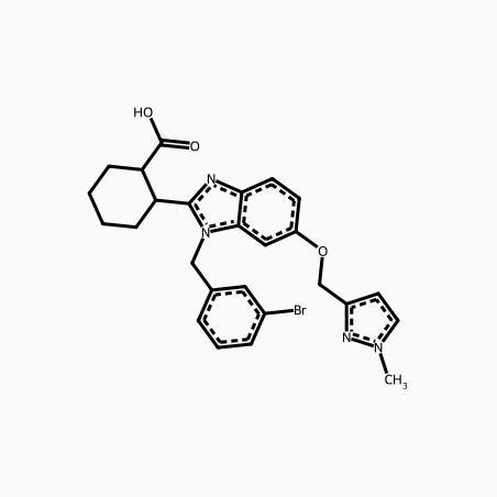 Cn1ccc(COc2ccc3nc(C4CCCCC4C(=O)O)n(Cc4cccc(Br)c4)c3c2)n1